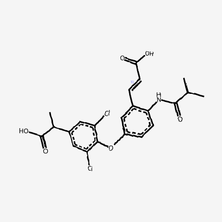 CC(C)C(=O)Nc1ccc(Oc2c(Cl)cc(C(C)C(=O)O)cc2Cl)cc1/C=C/C(=O)O